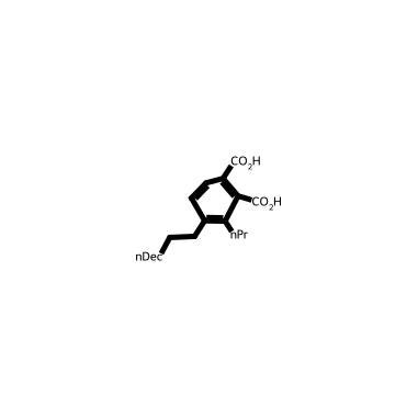 CCCCCCCCCCCCc1ccc(C(=O)O)c(C(=O)O)c1CCC